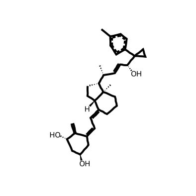 C=C1/C(=C\C=C2/CCC[C@]3(C)[C@@H]([C@H](C)/C=C/[C@@H](O)C4(c5ccc(C)cc5)CC4)CC[C@@H]23)C[C@@H](O)C[C@@H]1O